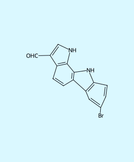 O=Cc1c[nH]c2c1ccc1c3cc(Br)ccc3[nH]c12